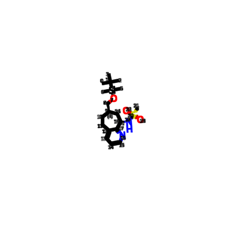 CC(C)(C)[Si](C)(C)OC[C@@H]1CCc2cccnc2[C@@H](NS(C)(=O)=O)C1